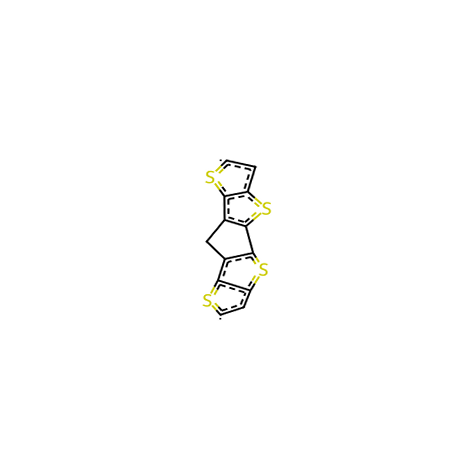 [c]1cc2sc3c(c2s1)Cc1c-3sc2c[c]sc12